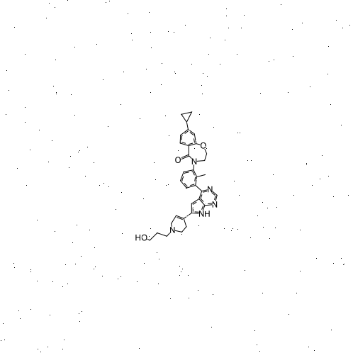 Cc1c(-c2ncnc3[nH]c(C4=CCN(CCCO)CC4)cc23)cccc1N1CCOc2cc(C3CC3)ccc2C1=O